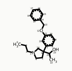 CCCN1CCC(c2cccc(OCc3ccccc3)c2)(C(C)O)C1